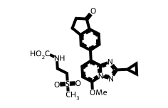 COc1ccc(-c2ccc3c(c2)CCC3=O)c2nc(C3CC3)nn12.CS(=O)(=O)CCNC(=O)O